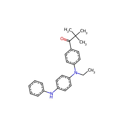 CCN(c1ccc(Nc2ccccc2)cc1)c1ccc(C(=O)C(C)(C)C)cc1